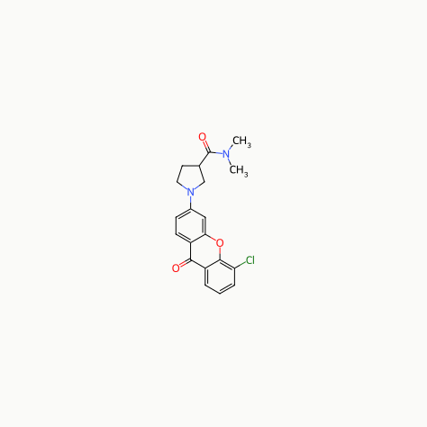 CN(C)C(=O)C1CCN(c2ccc3c(=O)c4cccc(Cl)c4oc3c2)C1